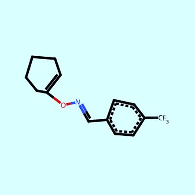 FC(F)(F)c1ccc([C]=NOC2=CCCCC2)cc1